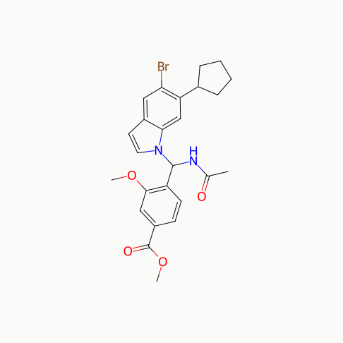 COC(=O)c1ccc(C(NC(C)=O)n2ccc3cc(Br)c(C4CCCC4)cc32)c(OC)c1